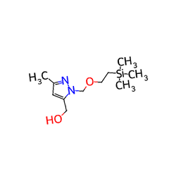 Cc1cc(CO)n(COCC[Si](C)(C)C)n1